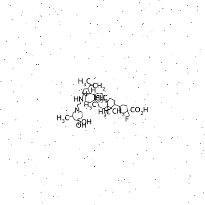 C=C(C)[C@@H]1CC[C@]2(NCCN3CCS(O)(O)CC(C)C3)CC[C@]3(C)[C@H](CCC4[C@@]5(C)CC=C(C6=CC[C@@](CF)(C(=O)O)CC6)C(C)(C)[C@@H]5CC[C@]43C)[C@@H]12